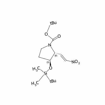 CC(C)(C)OC(=O)N1CC[C@H](O[Si](C)(C)C(C)(C)C)[C@H]1C=C[N+](=O)[O-]